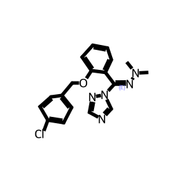 CN(C)/N=C(\c1ccccc1OCc1ccc(Cl)cc1)n1cncn1